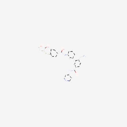 NCc1ccc(C(=O)Nc2ccncc2)cc1-c1cccc(NC(=O)c2ccc(SC3CCOC3=O)cc2)c1